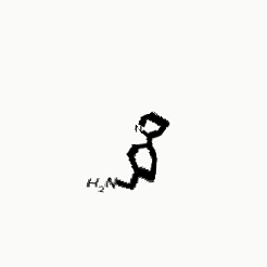 NCc1ccc(-c2cc[c]cn2)cc1